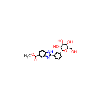 COC(=O)c1ccc2[nH]c(-c3cccc([C@H]4O[C@H](CO)[C@@H](O)[C@H](O)[C@H]4O)c3)nc2c1